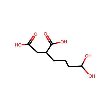 O=C(O)CC(CCCC(O)O)C(=O)O